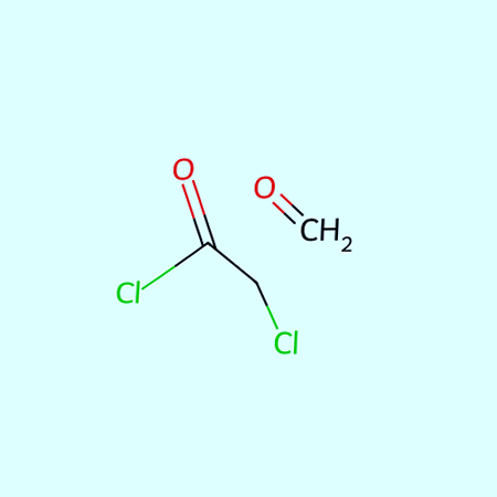 C=O.O=C(Cl)CCl